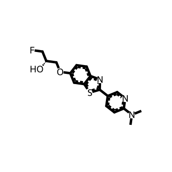 CN(C)c1ccc(-c2nc3ccc(OC[C@H](O)CF)cc3s2)cn1